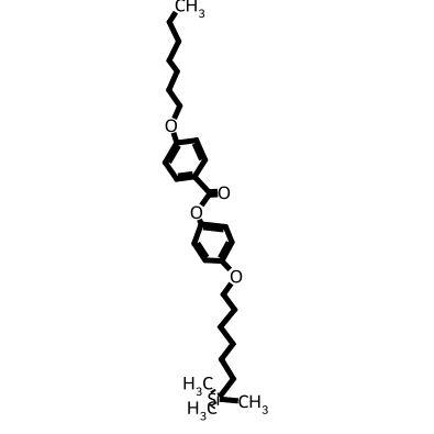 CCCCCCCOc1ccc(C(=O)Oc2ccc(OCCCCCC[Si](C)(C)C)cc2)cc1